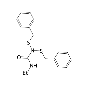 CCNC(=O)N(SCc1ccccc1)SCc1ccccc1